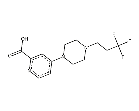 O=C(O)c1cc(N2CCN(CCC(F)(F)F)CC2)ccn1